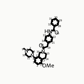 COc1ccc(N2CCN(C)CC2)c2c1CCN(C(=O)Cc1ccc(NC(=O)c3ccccc3)cc1)C2